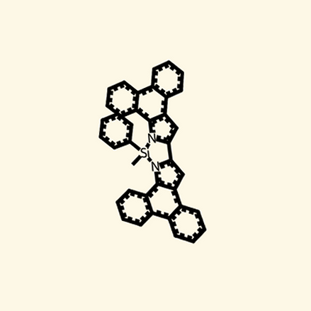 C[Si]1(c2ccccc2)n2c(cc3c4ccccc4c4ccccc4c32)-c2cc3c4ccccc4c4ccccc4c3n21